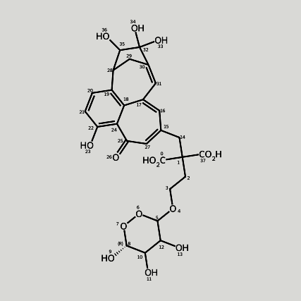 O=C(O)C(CCOC1OO[C@@H](O)C(O)C1O)(Cc1cc2c3c(ccc(O)c3c(=O)c1)C1CC(=C2)C(O)(O)C1O)C(=O)O